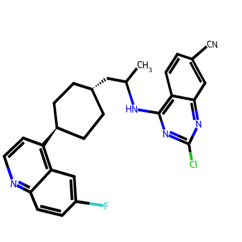 CC(C[C@H]1CC[C@H](c2ccnc3ccc(F)cc32)CC1)Nc1nc(Cl)nc2cc(C#N)ccc12